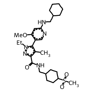 CCn1nc(C(=O)NCC2CCC(S(C)(=O)=O)CC2)c(C)c1-c1cnc(NCC2CCCCC2)cc1OC